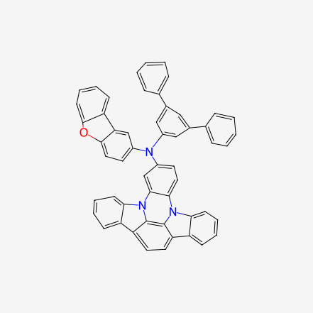 c1ccc(-c2cc(-c3ccccc3)cc(N(c3ccc4oc5ccccc5c4c3)c3ccc4c(c3)n3c5ccccc5c5ccc6c7ccccc7n4c6c53)c2)cc1